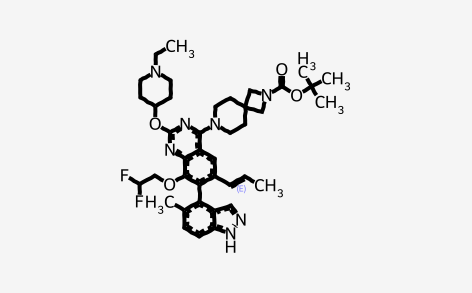 C/C=C/c1cc2c(N3CCC4(CC3)CN(C(=O)OC(C)(C)C)C4)nc(OC3CCN(CC)CC3)nc2c(OCC(F)F)c1-c1c(C)ccc2[nH]ncc12